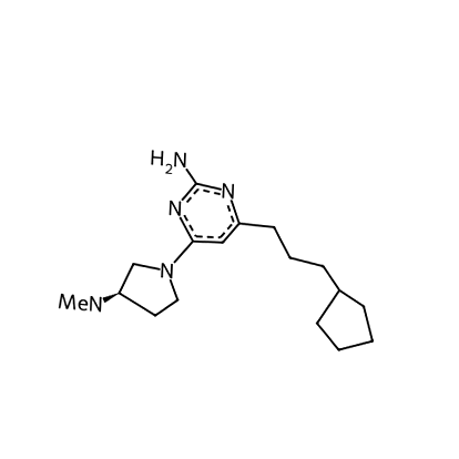 CN[C@@H]1CCN(c2cc(CCCC3CCCC3)nc(N)n2)C1